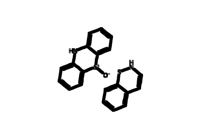 C1=Cc2ccccc2SN1.[O-][S+]1c2ccccc2Nc2ccccc21